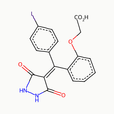 O=C(O)COc1ccccc1C(=C1C(=O)NNC1=O)c1ccc(I)cc1